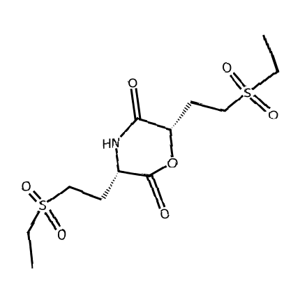 CCS(=O)(=O)CC[C@@H]1NC(=O)[C@H](CCS(=O)(=O)CC)OC1=O